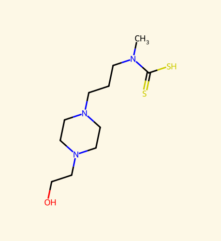 CN(CCCN1CCN(CCO)CC1)C(=S)S